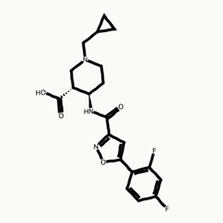 O=C(N[C@@H]1CCN(CC2CC2)C[C@H]1C(=O)O)c1cc(-c2ccc(F)cc2F)on1